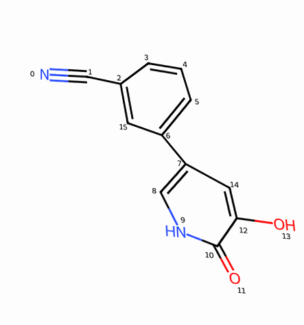 N#Cc1cccc(-c2c[nH]c(=O)c(O)c2)c1